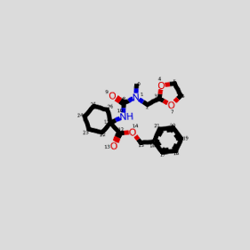 CN(CC1OCCO1)C(=O)NC1(C(=O)OCc2ccccc2)CCCCC1